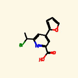 CC(Br)c1cc(-c2ccco2)cc(C(=O)O)n1